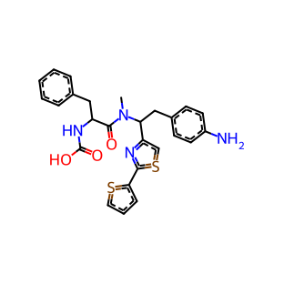 CN(C(=O)C(Cc1ccccc1)NC(=O)O)C(Cc1ccc(N)cc1)c1csc(-c2cccs2)n1